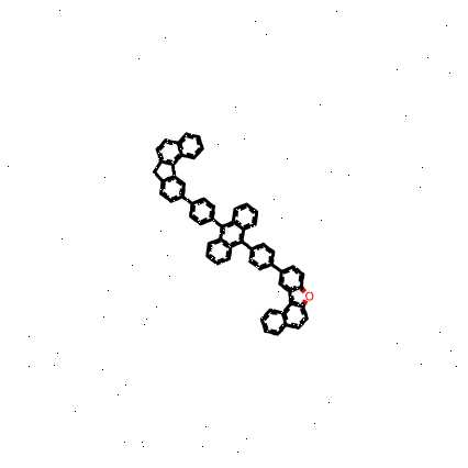 c1ccc2c3c(ccc2c1)Cc1ccc(-c2ccc(-c4c5ccccc5c(-c5ccc(-c6ccc7oc8ccc9ccccc9c8c7c6)cc5)c5ccccc45)cc2)cc1-3